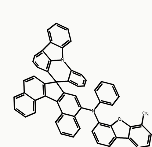 N#Cc1cccc2c1oc1c(N(c3ccccc3)c3cc4c(c5ccccc35)-c3c(ccc5ccccc35)C43c4ccccc4-n4c5ccccc5c5cccc3c54)cccc12